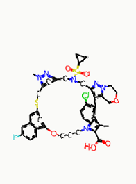 Cc1c(C(=O)O)n2c3ccc(Cl)c(c13)-c1c(nn3c1COCC3)CN(S(=O)(=O)C1CC1)Cc1cc(n(C)n1)CSc1cc(c3ccc(F)cc3c1)OCCC2